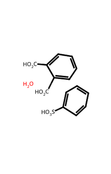 O.O=C(O)c1ccccc1C(=O)O.O=S(=O)(O)c1ccccc1